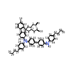 C=CCCCC1(CCCC=C)c2cc(C)ccc2-c2ccc(N(c3ccc(CCCC)cc3)c3ccc(-c4ccc(N(C)c5ccc(CCCC)cc5)cc4)cc3)cc21